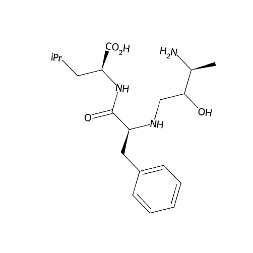 CC(C)C[C@H](NC(=O)[C@H](Cc1ccccc1)NCC(O)[C@H](C)N)C(=O)O